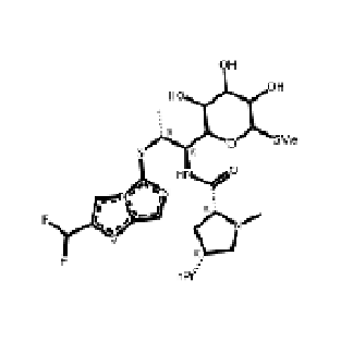 CCC[C@@H]1C[C@H](C(=O)N[C@H](C2OC(SC)C(O)C(O)C2O)[C@@H](C)Sc2ncc3sc(C(F)F)cn23)N(C)C1